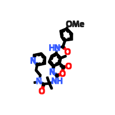 COc1ccc(C(=O)Nc2ccc3nc(NC(C)(C)C(=O)N(C)CCc4ccccn4)oc(=O)c3c2C)cc1